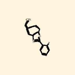 OCc1ccc2oc(-c3ccccc3F)nc2c1